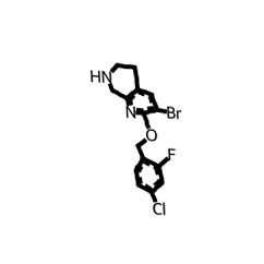 Fc1cc(Cl)ccc1COc1nc2c(cc1Br)CCNC2